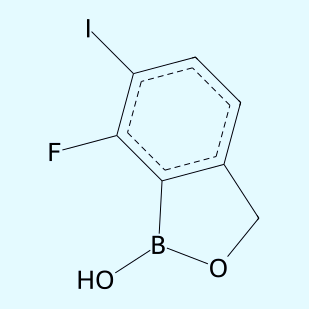 OB1OCc2ccc(I)c(F)c21